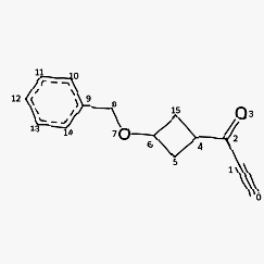 C#CC(=O)C1CC(OCc2ccccc2)C1